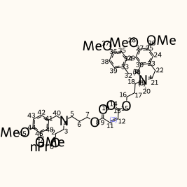 CCCOCCN(CCCOC(=O)/C=C\C(=O)OCCC[N@+]1(C)CCc2cc(OC)c(OC)cc2[C@H]1Cc1ccc(OC)cc1)Cc1ccc(OC)c(OC)c1